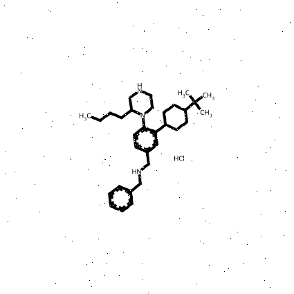 CCCCC1CNCCN1c1ccc(CNCc2ccccc2)cc1C1CCC(C(C)(C)C)CC1.Cl